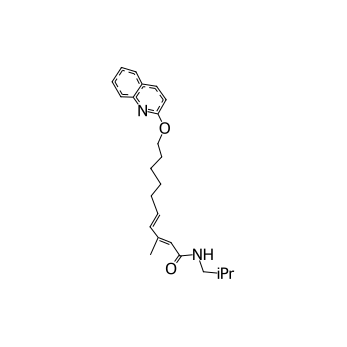 CC(C=CCCCCCOc1ccc2ccccc2n1)=CC(=O)NCC(C)C